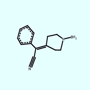 BN1CCC(=C(C#N)c2ccccc2)CC1